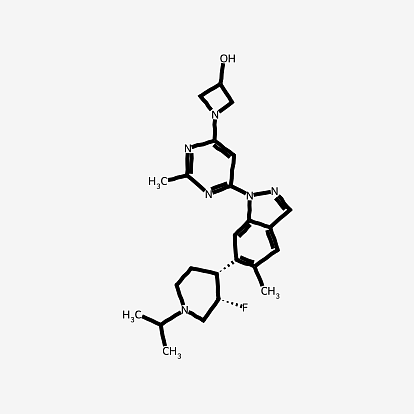 Cc1nc(N2CC(O)C2)cc(-n2ncc3cc(C)c([C@H]4CCN(C(C)C)C[C@H]4F)cc32)n1